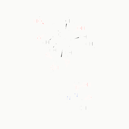 C=C[C@]1(C)C[C@@H](C(Oc2ccc3c(c2)B(O)N(C(C)=O)N=C3)C(=O)O)[C@@]2(C)[C@H](C)CC[C@]3(C[C@H](O)C(=O)[C@H]32)[C@@H](C)[C@@H]1O